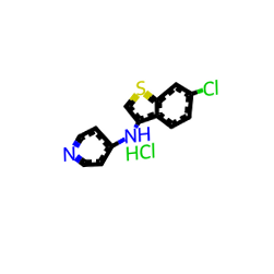 Cl.Clc1ccc2c(Nc3ccncc3)csc2c1